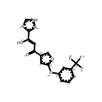 O=C(C=C(O)c1nc[nH]n1)c1coc(Oc2cccc(C(F)(F)F)c2)c1